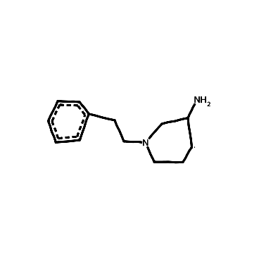 NC1[CH]CCN(CCc2ccccc2)C1